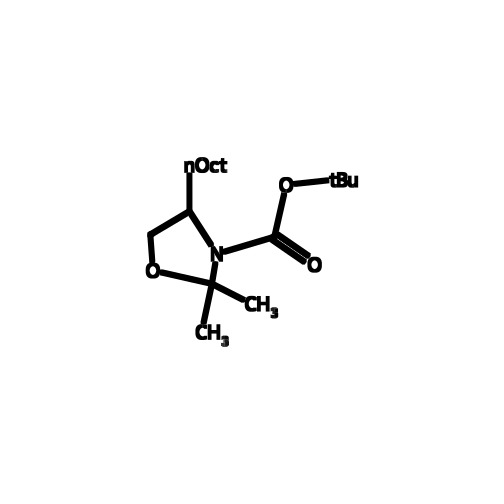 CCCCCCCCC1COC(C)(C)N1C(=O)OC(C)(C)C